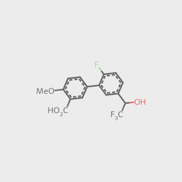 COc1ccc(-c2cc(C(O)C(F)(F)F)ccc2F)cc1C(=O)O